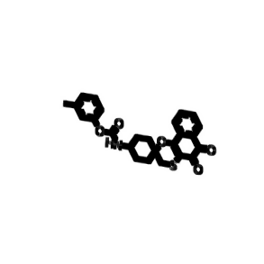 Cc1cccc(OC(=O)NC2CCC3(CC2)CSC2=C(O3)c3ccccc3C(=O)C2=O)c1